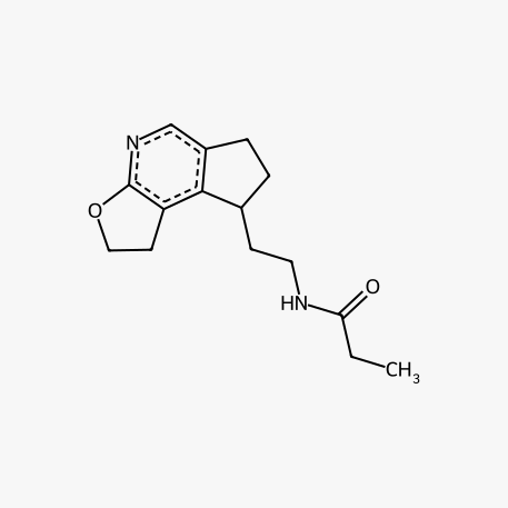 CCC(=O)NCCC1CCc2cnc3c(c21)CCO3